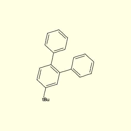 CC(C)(C)c1ccc(-c2ccccc2)c(-c2ccccc2)c1